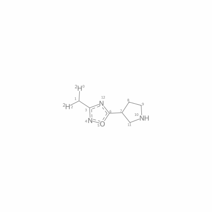 [2H]C([2H])c1noc(C2CCNC2)n1